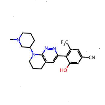 CN1CCC[C@@H](N2CCCc3cc(-c4c(O)cc(C#N)cc4C(F)(F)F)nnc32)C1